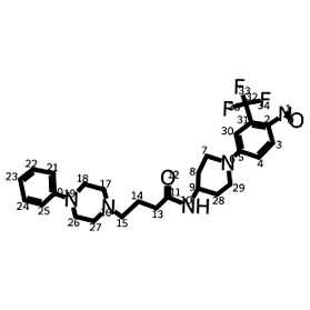 O=Nc1ccc(N2CCC(NC(=O)CCCN3CCN(c4ccccc4)CC3)CC2)cc1C(F)(F)F